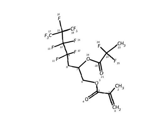 C=C(C)C(=O)OCC(CC(F)(F)C(F)(F)C(F)(C(F)(F)F)C(F)(F)F)OC(=O)C(C)(F)F